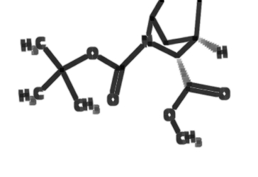 C=C1CC2C[C@@H]1[C@H](C(=O)OC)N2C(=O)OC(C)(C)C